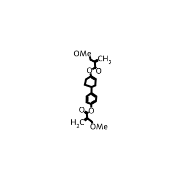 C=C(COC)C(=O)OC1=CCC(c2ccc(OC(=O)C(=C)COC)cc2)CC1